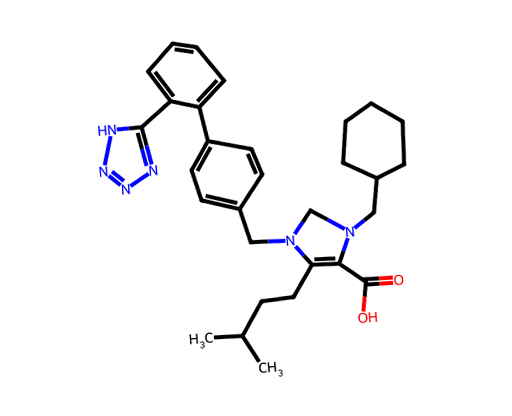 CC(C)CCC1=C(C(=O)O)N(CC2CCCCC2)CN1Cc1ccc(-c2ccccc2-c2nnn[nH]2)cc1